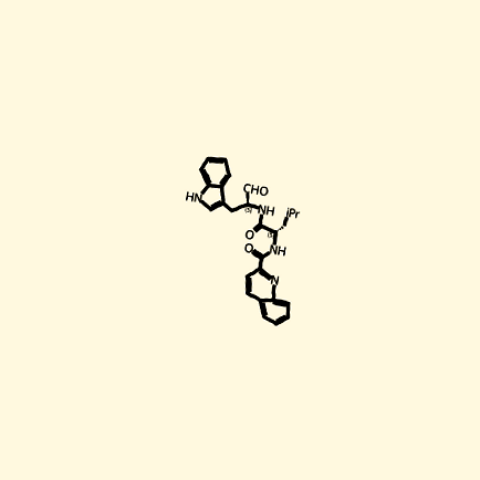 CC(C)C[C@H](NC(=O)c1ccc2ccccc2n1)C(=O)N[C@H](C=O)Cc1c[nH]c2ccccc12